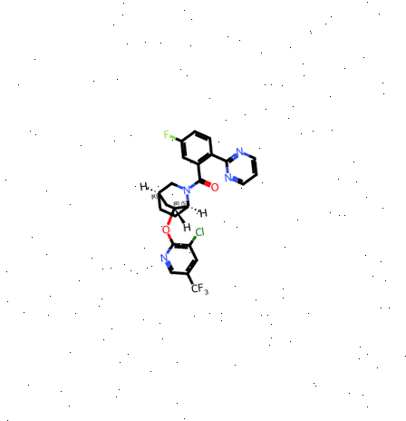 O=C(c1cc(F)ccc1-c1ncccn1)N1C[C@@H]2CC[C@H]1[C@H](Oc1ncc(C(F)(F)F)cc1Cl)C2